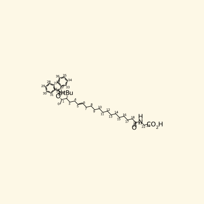 CC(CCC/C=C/CCCCCCCCCCCCC(=O)NCC(=O)O)O[Si](c1ccccc1)(c1ccccc1)C(C)(C)C